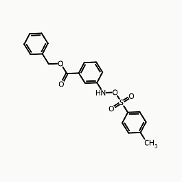 Cc1ccc(S(=O)(=O)ONc2cccc(C(=O)OCc3ccccc3)c2)cc1